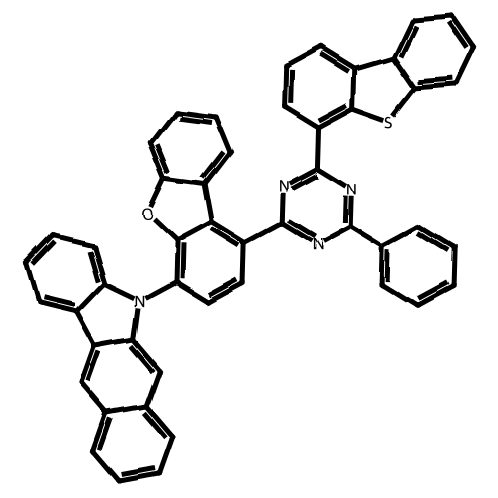 c1ccc(-c2nc(-c3cccc4c3sc3ccccc34)nc(-c3ccc(-n4c5ccccc5c5cc6ccccc6cc54)c4oc5ccccc5c34)n2)cc1